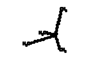 CCCCCCCCCCCCCCCCC(CCCCCC)(CCCCCCCCC)CCCCCCCCCCCCCCCC